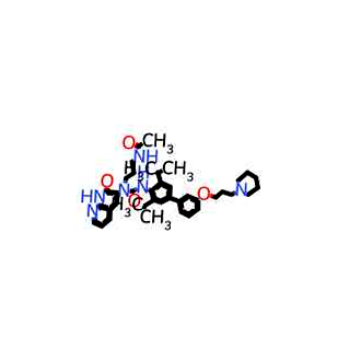 CC(=O)NCCCN(C(=O)Nc1c(C(C)C)cc(-c2cccc(OCCCN3CCCCC3)c2)cc1C(C)C)c1cc2cccnc2[nH]c1=O